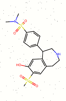 CN(C)S(=O)(=O)c1ccc(C2CNCCc3cc(S(C)(=O)=O)c(O)cc32)cc1